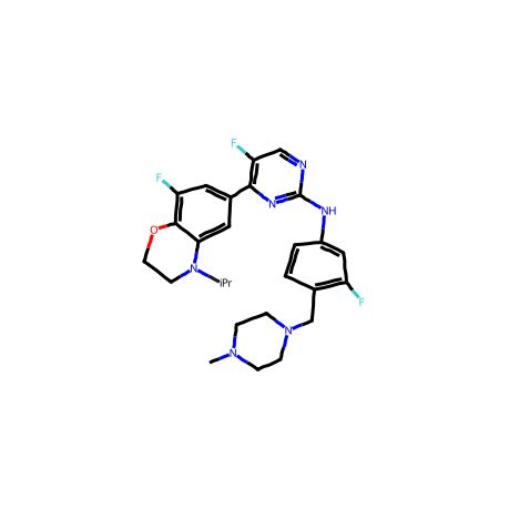 CC(C)N1CCOc2c(F)cc(-c3nc(Nc4ccc(CN5CCN(C)CC5)c(F)c4)ncc3F)cc21